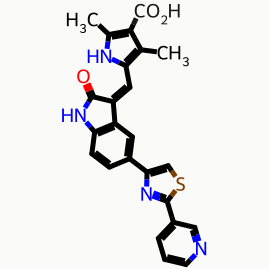 Cc1[nH]c(/C=C2\C(=O)Nc3ccc(-c4csc(-c5cccnc5)n4)cc32)c(C)c1C(=O)O